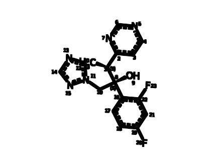 C[C@@H](c1ccncn1)[C@@](O)(Cn1cncn1)c1ccc(F)cc1F